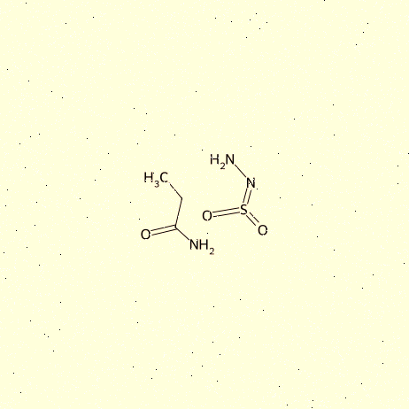 CCC(N)=O.NN=S(=O)=O